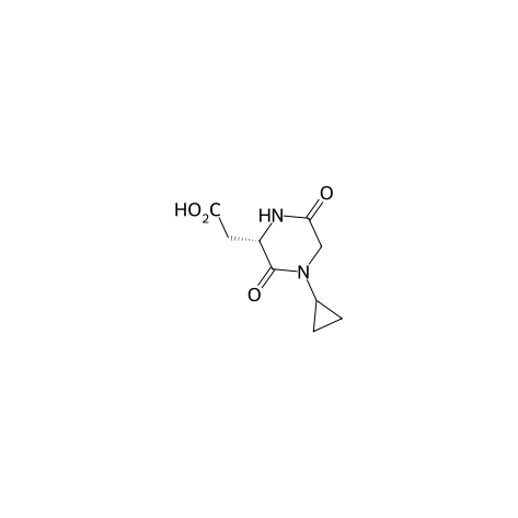 O=C(O)C[C@@H]1NC(=O)CN(C2CC2)C1=O